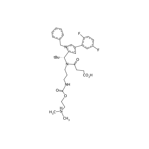 C[SiH](C)CCOC(=O)NCCCN(C(=O)CCC(=O)O)[C@@H](c1cc(-c2cc(F)ccc2F)cn1Cc1ccccc1)C(C)(C)C